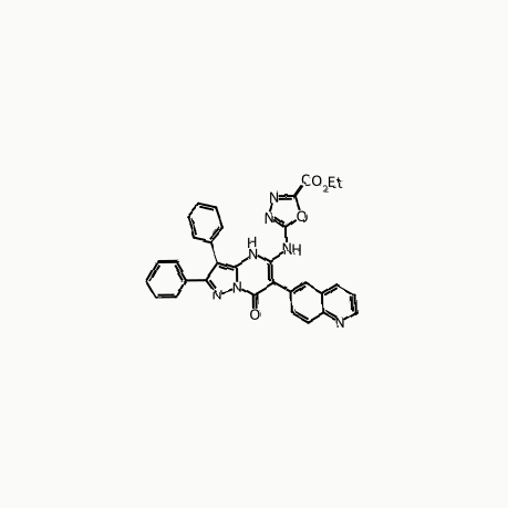 CCOC(=O)c1nnc(Nc2[nH]c3c(-c4ccccc4)c(-c4ccccc4)nn3c(=O)c2-c2ccc3ncccc3c2)o1